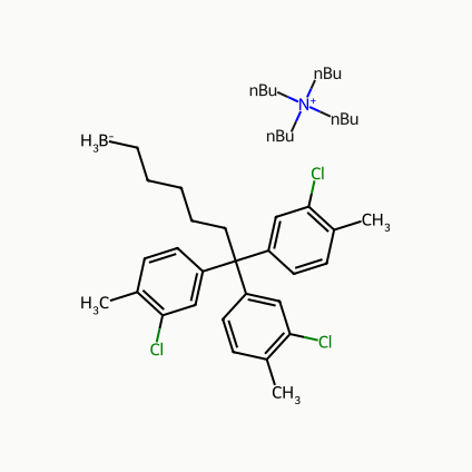 CCCC[N+](CCCC)(CCCC)CCCC.[BH3-]CCCCCC(c1ccc(C)c(Cl)c1)(c1ccc(C)c(Cl)c1)c1ccc(C)c(Cl)c1